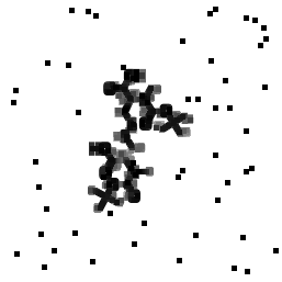 CN(C(=O)OC(C)(C)C)[C@@H](CSSC[C@@H](C(=O)O)N(C)C(=O)OC(C)(C)C)C(=O)O